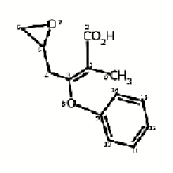 CC(C(=O)O)=C(CC1CO1)Oc1ccccc1